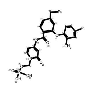 Cc1cc(F)ccc1Oc1cc(CF)ccc1C(=O)Nc1ccn(COP(=O)(O)O)c(=O)c1